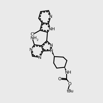 CC(C)(C)OC(=O)N[C@H]1CC[C@@H](n2nc(-c3[nH]c4ncccc4c3Cl)c3c(N)ncnc32)CC1